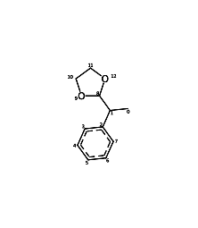 CC(c1ccccc1)C1OCCO1